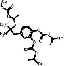 CCCCOC(=O)O[C@@H](C)CC(N)(Cc1ccc(OC(=O)OC(C)C(C)C)c(OC(=O)OC(C)C(C)C)c1)C(=O)O